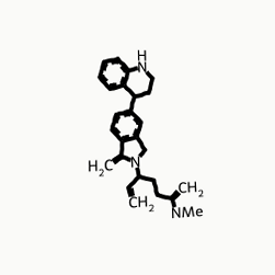 C=CC(CCC(=C)NC)N1Cc2cc(C3CCNc4ccccc43)ccc2C1=C